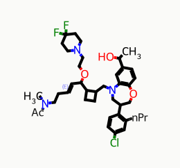 CCCc1cc(Cl)ccc1C1COc2ccc(C(C)O)cc2N(CC2CCC2C(/C=C/CCN(C)C(C)=O)OCCN2CCC(F)(F)CC2)C1